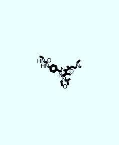 CCNC(=O)Nc1ccc(-c2nc(N3CCOCC3C)c3c(n2)C(C)(CCN(C)CC)OC3)cc1